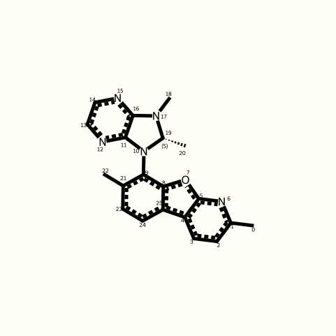 Cc1ccc2c(n1)oc1c(N3c4nccnc4N(C)[C@@H]3C)c(C)ccc12